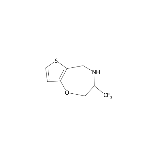 FC(F)(F)C1COc2ccsc2CN1